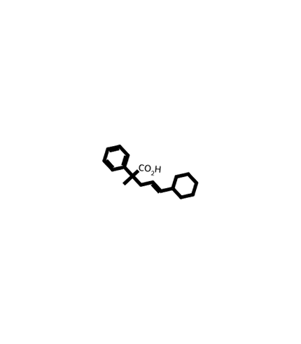 CC(C/C=C/C1CCCCC1)(C(=O)O)c1ccccc1